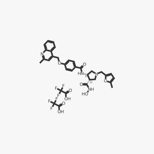 Cc1cc(COc2ccc(C(=O)N[C@@H]3CN(Cc4ccc(C)o4)C[C@@H]3C(=O)NO)cc2)c2ccccc2n1.O=C(O)C(F)(F)F.O=C(O)C(F)(F)F